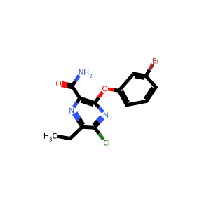 CCc1nc(C(N)=O)c(Oc2cccc(Br)c2)nc1Cl